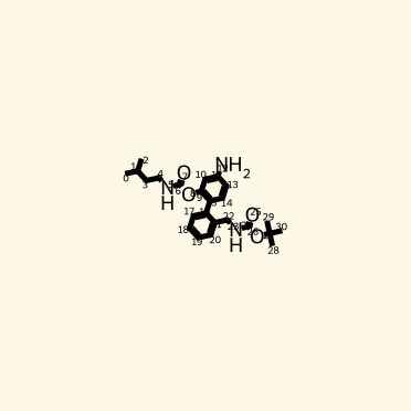 CC(C)CCNC(=O)Oc1cc(N)ccc1-c1ccccc1CNC(=O)OC(C)(C)C